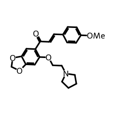 COc1ccc(/C=C/C(=O)c2cc3c(cc2OCCN2CCCC2)OCO3)cc1